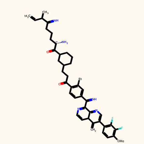 C=CC(C)C(=N)CCC[C@H](N)C(=O)C1CCCC(CCC(=O)c2ccc(C(=N)C3=NC=CC4C(=C)C(c5ccc(OC)c(F)c5F)=CN=C34)cc2CC)C1